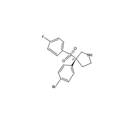 O=S(=O)(c1ccc(F)cc1)[C@@]1(c2ccc(Br)cc2)CCNC1